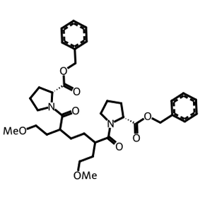 COCCC(CCC(CCOC)C(=O)N1CCC[C@@H]1C(=O)OCc1ccccc1)C(=O)N1CCC[C@@H]1C(=O)OCc1ccccc1